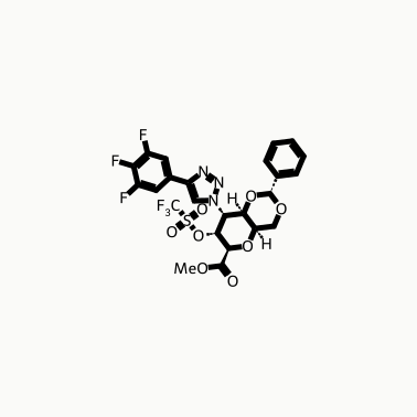 COC(=O)[C@@H]1O[C@@H]2CO[C@@H](c3ccccc3)O[C@@H]2[C@@H](n2cc(-c3cc(F)c(F)c(F)c3)nn2)[C@H]1OS(=O)(=O)C(F)(F)F